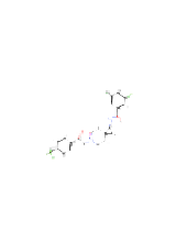 O=C(NC1CC12CCN(CC(O)c1ccc(C(F)(F)F)cc1)CC2)c1cc(F)cc(Cl)c1